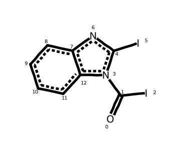 O=C(I)n1c(I)nc2ccccc21